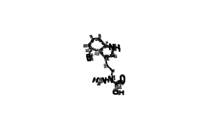 NN(CCc1c[nH]c2cccc(Br)c12)C(=O)O